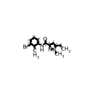 C=Cc1cc(C(=O)Nc2cccc(Br)c2C)nn1C